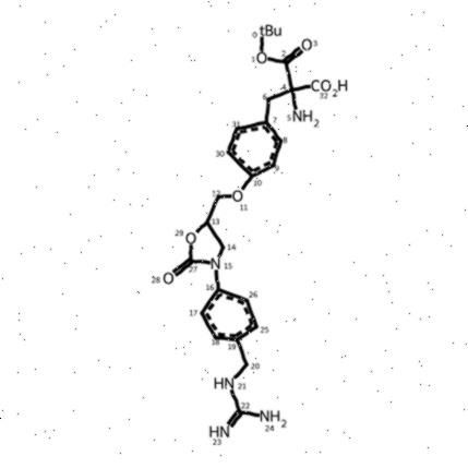 CC(C)(C)OC(=O)C(N)(Cc1ccc(OCC2CN(c3ccc(CNC(=N)N)cc3)C(=O)O2)cc1)C(=O)O